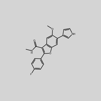 CNC(=O)c1c(-c2ccc(F)cc2)oc2cc(-c3cc[nH]c3)c(OC)cc12